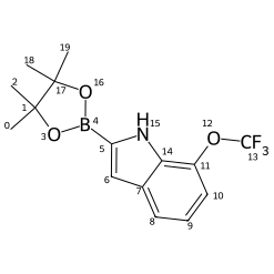 CC1(C)OB(c2cc3cccc(OC(F)(F)F)c3[nH]2)OC1(C)C